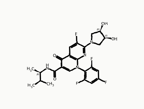 CC(C)[C@@H](C)NC(=O)c1cn(-c2c(F)cc(F)cc2F)c2nc(N3C[C@@H](O)[C@@H](O)C3)c(F)cc2c1=O